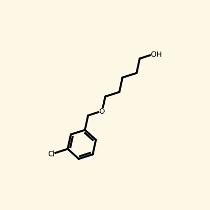 OCCCCCOCc1cccc(Cl)c1